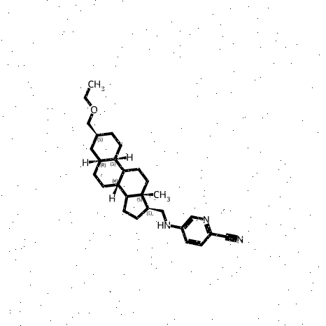 CCOC[C@H]1CC[C@@H]2C3CC[C@@]4(C)C(CC[C@@H]4CNc4ccc(C#N)nc4)[C@@H]3CC[C@@H]2C1